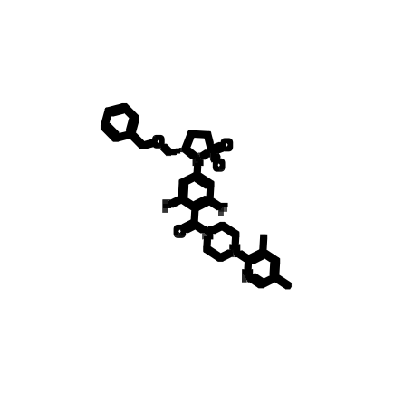 Cc1cnc(N2CCN(C(=O)c3c(F)cc(N4[C@H](COCc5ccccc5)CCS4(=O)=O)cc3F)CC2)c(C)c1